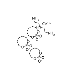 NCCNCCN.O=P1([O-])OCCCCCO1.O=P1([O-])OCCCCCO1.O=P1([O-])OCCCCCO1.[Ce+3]